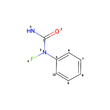 [NH]C(=O)N(F)c1ccccc1